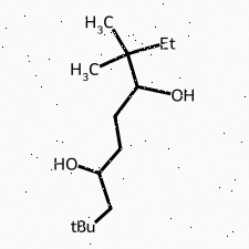 CCC(C)(C)C(O)CCC(O)CC(C)(C)C